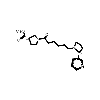 COC(=O)[C@H]1CCN(C(=O)CCCCCN2CCC[C@H]2c2cccnc2)C1